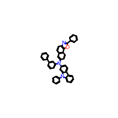 c1ccc(-c2cccc(N(c3ccc4c(ccc5nc(-c6ccccc6)oc54)c3)c3ccc4c5ccccc5n(-c5ccccc5)c4c3)c2)cc1